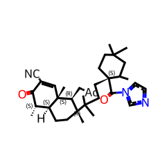 CC(=O)C[C@@H]1[C@@]2(C)C=C(C#N)C(=O)[C@@H](C)[C@@H]2CC[C@@]1(C)C(C)(C)CC[C@@]1(C(=O)n2ccnc2)CCC(C)(C)CC1C